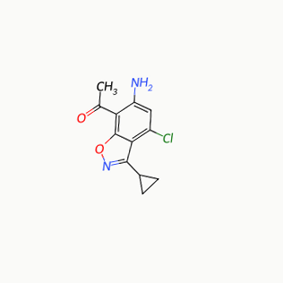 CC(=O)c1c(N)cc(Cl)c2c(C3CC3)noc12